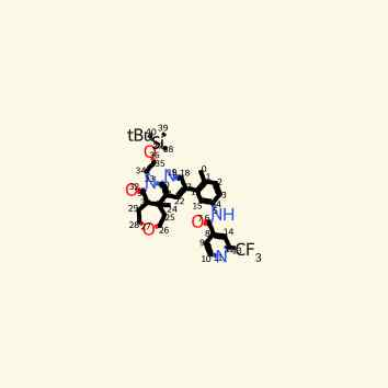 Cc1ccc(NC(=O)c2ccnc(C(F)(F)F)c2)cc1-c1cnc2c(c1)C1(C)CCOCCC1C(=O)N2CCO[Si](C)(C)C(C)(C)C